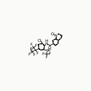 O=C(Nc1c(Cl)cc(C(F)(C(F)(F)F)C(F)(F)F)cc1[S+]([O-])C(F)(F)F)c1ccc2ccc[n+]([O-])c2c1